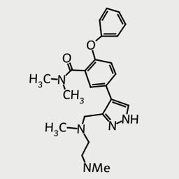 CNCCN(C)Cc1n[nH]cc1-c1ccc(Oc2ccccc2)c(C(=O)N(C)C)c1